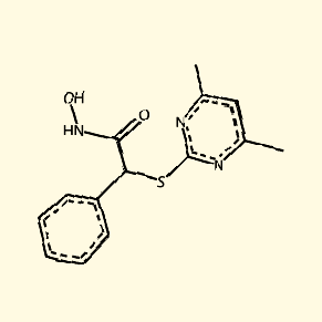 Cc1cc(C)nc(SC(C(=O)NO)c2ccccc2)n1